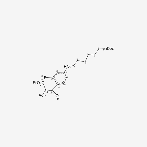 CCCCCCCCCCCCCCCCNc1ccc(C(=O)C(C(C)=O)C(=O)OCC)c(F)c1